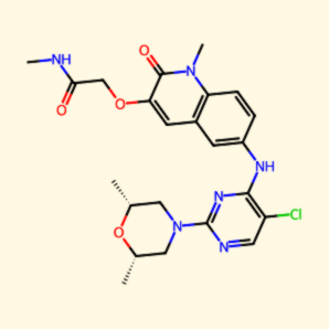 CNC(=O)COc1cc2cc(Nc3nc(N4C[C@@H](C)O[C@@H](C)C4)ncc3Cl)ccc2n(C)c1=O